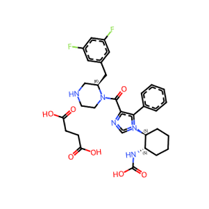 O=C(O)CCC(=O)O.O=C(O)N[C@H]1CCCC[C@@H]1n1cnc(C(=O)N2CCNC[C@H]2Cc2cc(F)cc(F)c2)c1-c1ccccc1